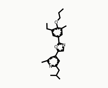 CCCOc1c(C)cc(-c2ncc(-c3cc(C)nc(CC(C)C)c3)o2)cc1CC